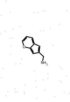 NCc1cc2cccoc-2c1